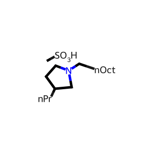 CCCCCCCCCN1CCC(CCC)C1.CS(=O)(=O)O